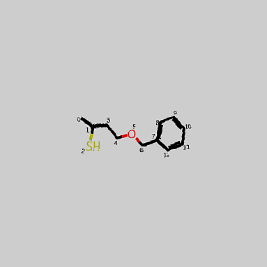 CC(S)CCOCc1ccccc1